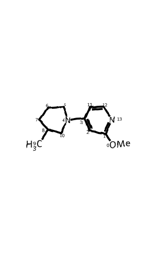 COc1cc(N2CCCC(C)C2)ccn1